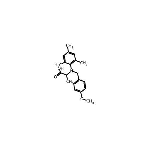 COc1ccc(CN(c2c(C)cc(C)cc2C)C(C)C(=O)O)cc1